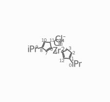 CC(C)C1=CC[C]([Zr+2][C]2=CC(C(C)C)=CC2)=C1.[Cl-].[Cl-]